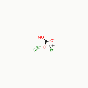 [Br-].[Br-].[Br-].[O-]B([O-])O.[V+5]